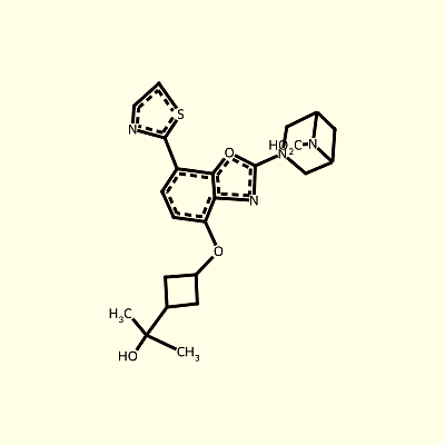 CC(C)(O)C1CC(Oc2ccc(-c3nccs3)c3oc(N4CC5CC(C4)N5C(=O)O)nc23)C1